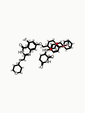 O=C1CCC(Nc2ccc(N3CC4CC(C3)N4CCN3CCC(COc4cc(F)c5c(=O)[nH]c(CSC6CCOCC6)nc5c4)CC3)cc2)C(=O)N1